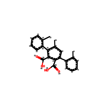 Cc1ccccc1-c1cc(C)c(-c2ccccc2C)c(C(=O)O)c1C(=O)O